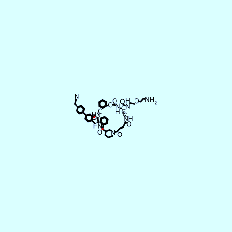 N#CCc1ccc(-c2ccc(C[C@@H]3NC(=O)[C@]4(Cc5ccccc5)CCCN(C4)C(=O)/C=C/C(=O)NCC[C@@H](C(=O)NCCOCCN)NC(=O)Cc4ccccc4CNC3=O)cc2)cc1